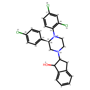 OC1c2ccccc2CC1N1CCN(c2ccc(Cl)cc2Cl)[C@H](c2ccc(Cl)cc2)C1